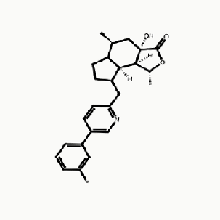 C[C@H]1C[C@@]2(O)C(=O)O[C@H](C)[C@H]2[C@H]2C(Cc3ccc(-c4cccc(F)c4)cn3)CCC21